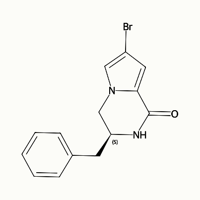 O=C1N[C@@H](Cc2ccccc2)Cn2cc(Br)cc21